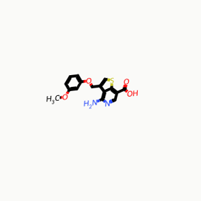 COc1cccc(OCc2csc3c(C(=O)O)cnc(N)c23)c1